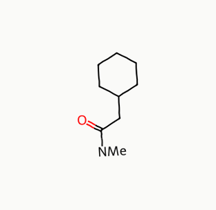 [CH2]NC(=O)CC1CCCCC1